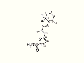 CC(C=CC1=C(C)CCCC1(C)C)=Cc1ccc(C(N)=O)s1